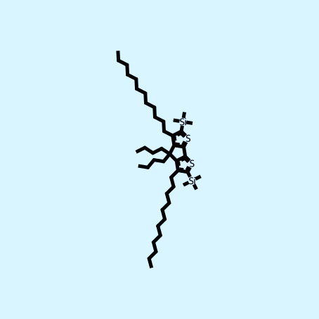 CCCCCCCCCCCCc1c([Si](C)(C)C)sc2c1C(CCCC)(CCCC)c1c-2sc([Si](C)(C)C)c1CCCCCCCCCCCC